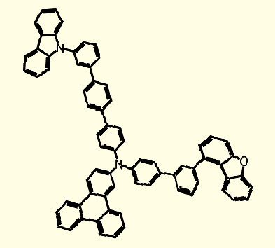 c1cc(-c2ccc(N(c3ccc(-c4ccc(-c5cccc(-n6c7ccccc7c7ccccc76)c5)cc4)cc3)c3ccc4c5ccccc5c5ccccc5c4c3)cc2)cc(-c2cccc3oc4ccccc4c23)c1